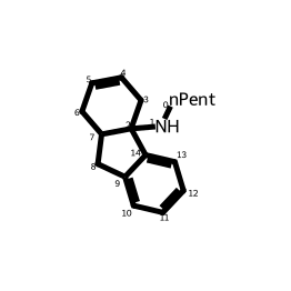 CCCCCNC12CC=CCC1Cc1ccccc12